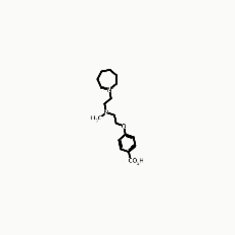 CN(CCOc1ccc(C(=O)O)cc1)CCN1CCCCCC1